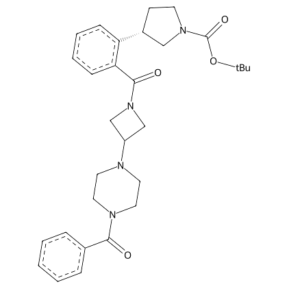 CC(C)(C)OC(=O)N1CC[C@@H](c2ccccc2C(=O)N2CC(N3CCN(C(=O)c4ccccc4)CC3)C2)C1